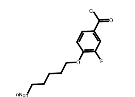 CCCCCCCCCCCCCCOc1ccc(C(=O)Cl)cc1F